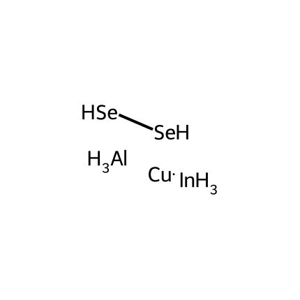 [AlH3].[Cu].[InH3].[SeH][SeH]